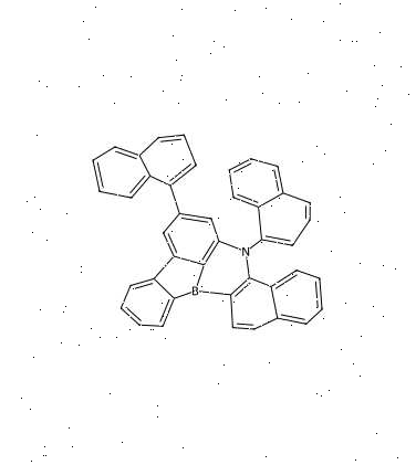 c1ccc2c(c1)B1c3ccc4ccccc4c3N(c3cccc4ccccc34)c3cc(-c4cccc5ccccc45)cc-2c31